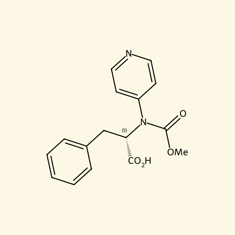 COC(=O)N(c1ccncc1)[C@@H](Cc1ccccc1)C(=O)O